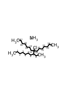 CCCCCCCC(CC)C(Cl)(CCCCCCC)CCCCCCC.N